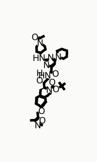 CC(=O)N1CCC(Nc2nc(C(=O)NC[C@@H](O)[C@@H]3Cc4ccc(OCc5ocnc5C)cc4CN3C(=O)OC(C)(C)C)cc(N3CCCCC3)n2)CC1